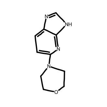 c1nc2ccc(N3CCOCC3)nc2[nH]1